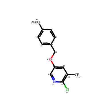 COc1ccc(COc2cnc(Cl)c(C(F)(F)F)c2)cc1